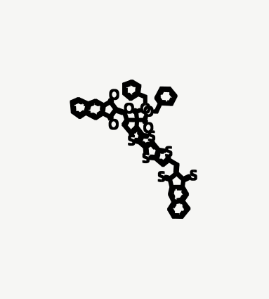 O=C1C(=CC2=Cc3sc4c(sc5c6sc(C=C7C(=S)c8cc9ccccc9cc8C7=S)cc6sc45)c3C2(C(=O)OCc2ccccc2)C(=O)OCc2ccccc2)C(=O)c2cc3ccccc3cc21